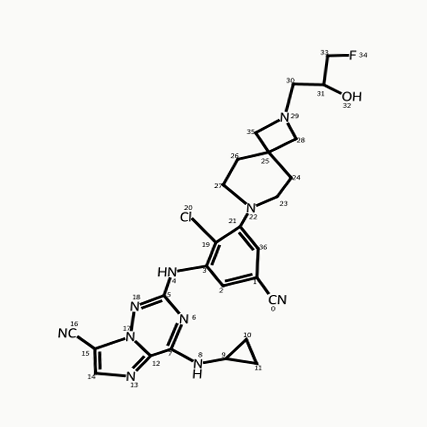 N#Cc1cc(Nc2nc(NC3CC3)c3ncc(C#N)n3n2)c(Cl)c(N2CCC3(CC2)CN(CC(O)CF)C3)c1